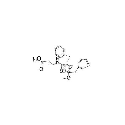 COP(=O)(Cc1ccccc1)O[C@@H](Cc1ccccc1)C(=O)NCCC(=O)O